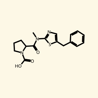 CN(C(=O)C1CCCN1C(=O)O)c1ncc(Cc2ccccc2)s1